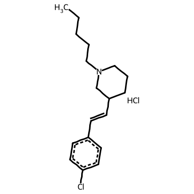 CCCCCN1CCCC(/C=C/c2ccc(Cl)cc2)C1.Cl